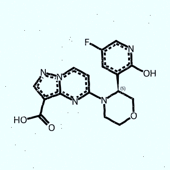 O=C(O)c1cnn2ccc(N3CCOC[C@@H]3c3cc(F)cnc3O)nc12